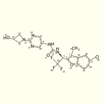 Cc1c([C@H](NC(=O)Nc2cnc(N3CC(O)C3)nc2)C(F)(F)F)oc2ccc(Cl)cc12